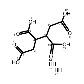 O=C(O)CC(C(=O)O)C(CC(=O)O)C(=O)O.[HH].[HH]